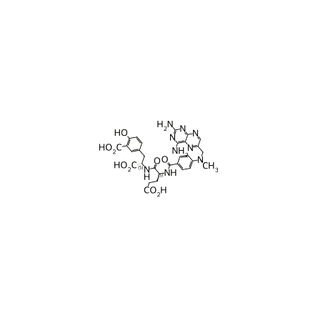 CN(Cc1cnc2nc(N)nc(N)c2n1)c1ccc(C(=O)N[C@@H](CCC(=O)O)C(=O)N[C@@H](Cc2ccc(O)c(C(=O)O)c2)C(=O)O)cc1